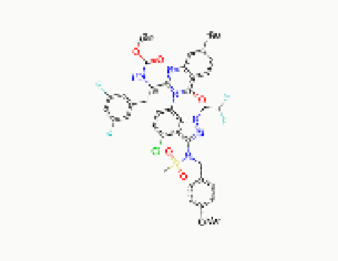 COc1ccc(CN(c2nn(CC(F)F)c3c(-n4c([C@H](Cc5cc(F)cc(F)c5)NC(=O)OC(C)(C)C)nc5cc(C(C)(C)C)ccc5c4=O)ccc(Cl)c23)S(C)(=O)=O)cc1